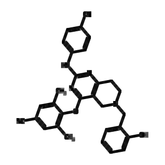 Cc1cc(C#N)cc(C)c1Oc1nc(Nc2ccc(C#N)cc2)nc2c1CN(Cc1ccccc1O)CC2